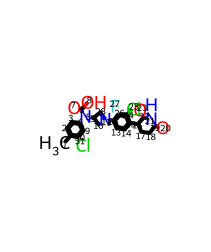 Cc1ccc(N(C(=O)O)C2CN(c3ccc(C4CCC(=O)NC4=O)c(Cl)c3F)C2)cc1Cl